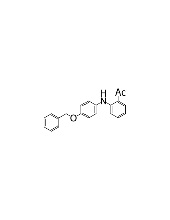 CC(=O)c1ccccc1Nc1ccc(OCc2ccccc2)cc1